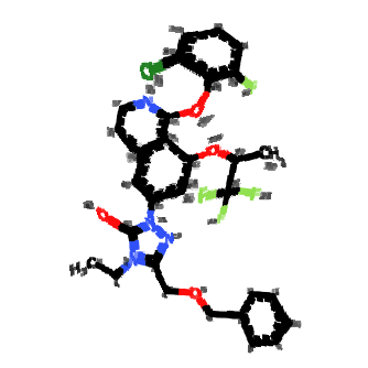 CCn1c(COCc2ccccc2)nn(-c2cc(OC(C)C(F)(F)F)c3c(Oc4c(F)cccc4Cl)nccc3c2)c1=O